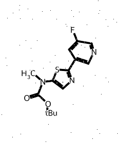 CN(C(=O)OC(C)(C)C)c1cnc(-c2cncc(F)c2)s1